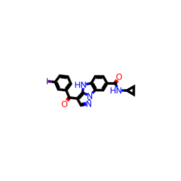 O=C(NC1CC1)c1ccc2[nH]c3c(C(=O)c4cccc(I)c4)cnn3c2c1